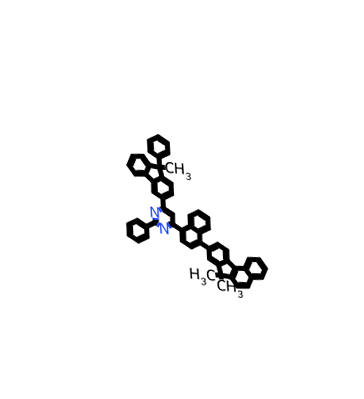 CC1(C)c2cc(-c3ccc(-c4cc(-c5ccc6c(c5)-c5ccccc5C6(C)c5ccccc5)nc(-c5ccccc5)n4)c4ccccc34)ccc2-c2c1ccc1ccccc21